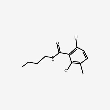 CCCCPC(=O)c1c(Cl)ccc(C)c1Cl